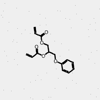 C=CC(=O)OCC(COc1ccccc1)OC(=O)C=C